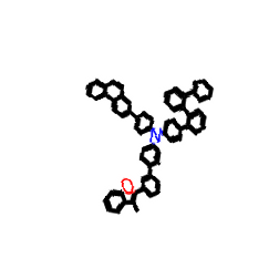 Cc1c(-c2cccc(-c3ccc(N(c4ccc(-c5ccc6c(ccc7ccccc76)c5)cc4)c4ccc(-c5ccccc5-c5ccccc5-c5ccccc5)cc4)cc3)c2)oc2ccccc12